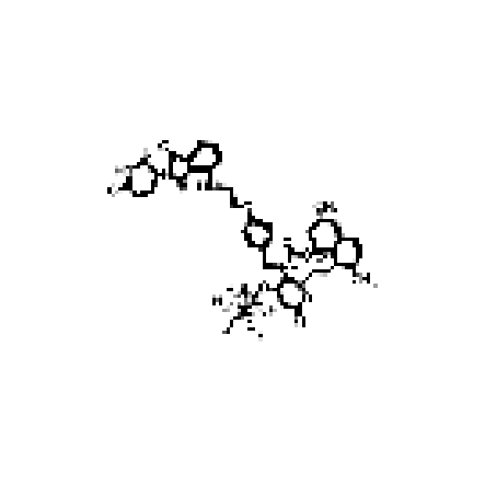 C[C@H]1C=C2C=C[C@H](C)[C@H](CC[C@@H]3C[C@@H](O[Si](C)(C)C(C)(C)C)CC(=O)O3)[C@H]2[C@@H](OC(=O)NCc2ccc(OCCNc3cccc4c3C(=O)N(C3CCC(=O)NC3=O)C4=O)cc2)C1